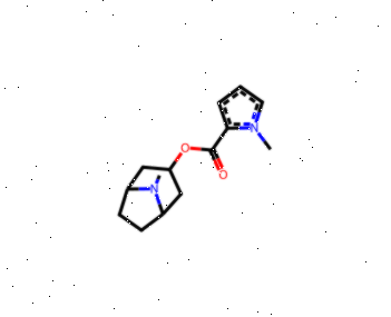 CN1C2CCC1CC(OC(=O)c1cccn1C)C2